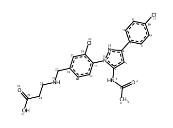 CC(=O)Nc1cc(-c2ccc(Cl)cc2)nn1-c1ccc(CNCCC(=O)O)cc1Cl